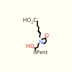 CCCCCC(O)CCN1CCC(=O)[C@H]1C/C=C/CCCC(=O)O